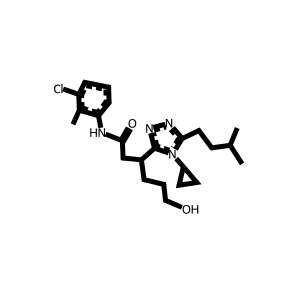 Cc1c(Cl)cccc1NC(=O)CC(CCCO)c1nnc(CCC(C)C)n1C1CC1